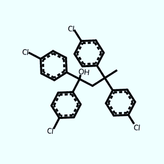 CC(CC(O)(c1ccc(Cl)cc1)c1ccc(Cl)cc1)(c1ccc(Cl)cc1)c1ccc(Cl)cc1